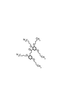 CCCCOc1ccc(OCCCC)c(CCC(=O)c2cc(OCCCC)cc(OCCCC)c2OCCCC)c1